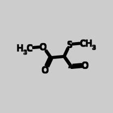 COC(=O)C([C]=O)SC